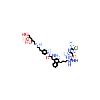 N=C(NCCCCc1ccc(C[C@H](N)C(=O)Nc2ccc(CCCNCC[C@@H](O)C[C@H](O)CO)cc2)c2ccccc12)NC(=O)c1nc(Cl)c(N)nc1N